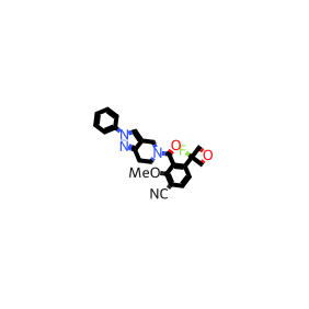 COc1c(C#N)ccc(C2(F)COC2)c1C(=O)N1CCc2nn(-c3ccccc3)cc2C1